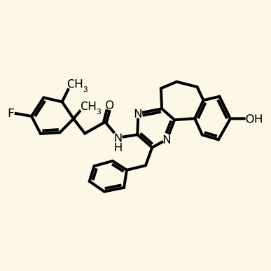 CC1C=C(F)C=CC1(C)CC(=O)Nc1nc2c(nc1Cc1ccccc1)-c1ccc(O)cc1CCC2